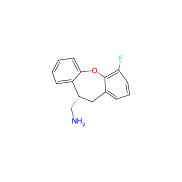 NC[C@H]1Cc2cccc(F)c2Oc2ccccc21